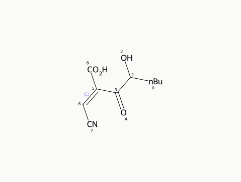 CCCCC(O)C(=O)/C(=C\C#N)C(=O)O